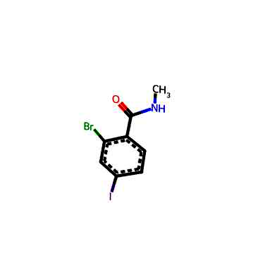 CNC(=O)c1ccc(I)cc1Br